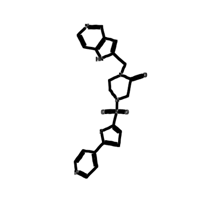 O=C1CN(S(=O)(=O)c2ccc(-c3ccncc3)s2)CCN1Cc1cc2cnccc2[nH]1